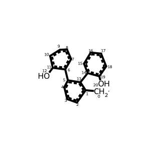 [CH2]c1cccc(-c2ccccc2O)c1-c1ccccc1O